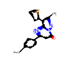 COc1ccc(-c2cc(=O)n3nc(C)c(-c4cccs4)c3[nH]2)cc1